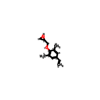 C=Cc1cc(C)c(OCC2CO2)c(C)c1